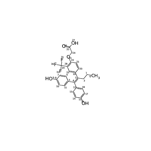 CCCC(=C(c1ccc(O)cc1)c1ccc(O)cc1)c1ccc(OCC(=O)O)c(C(F)(F)F)c1